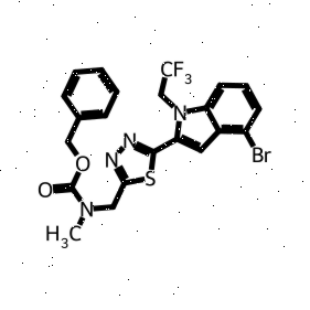 CN(Cc1nnc(-c2cc3c(Br)cccc3n2CC(F)(F)F)s1)C(=O)OCc1ccccc1